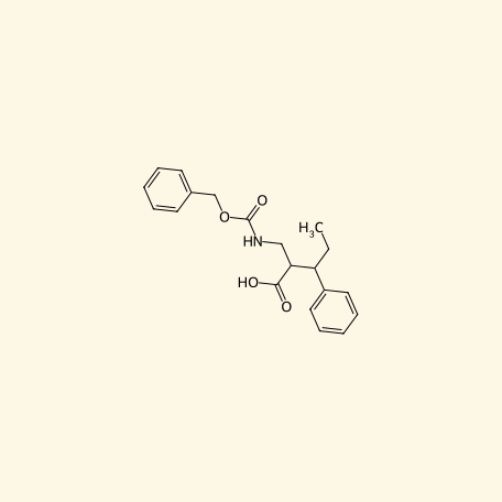 CCC(c1ccccc1)C(CNC(=O)OCc1ccccc1)C(=O)O